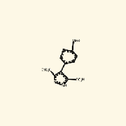 CCOC(=O)c1n[nH]c(C(=O)O)c1-c1ccc(OC)cc1